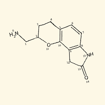 NCC1CCc2ccc3c(c2O1)CC(=O)N3